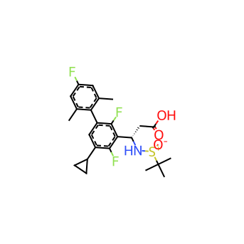 Cc1cc(F)cc(C)c1-c1cc(C2CC2)c(F)c([C@H](CC(=O)O)N[S+]([O-])C(C)(C)C)c1F